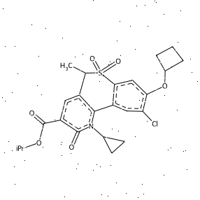 CC(C)OC(=O)c1cc2c(n(C3CC3)c1=O)-c1cc(Cl)c(OC3CCC3)cc1S(=O)(=O)C2C